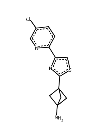 NC12CC(c3nc(-c4ccc(Cl)cn4)cs3)(C1)C2